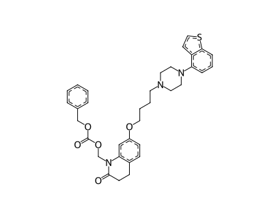 O=C(OCc1ccccc1)OCN1C(=O)CCc2ccc(OCCCCN3CCN(c4cccc5sccc45)CC3)cc21